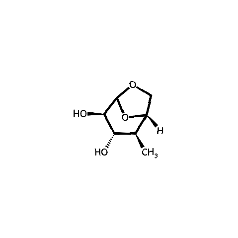 C[C@H]1[C@H](O)[C@@H](O)C2OC[C@H]1O2